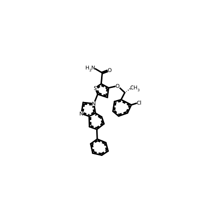 C[C@@H](Oc1cc(-n2cnc3cc(-c4ccccc4)ccc32)sc1C(N)=O)c1ccccc1Cl